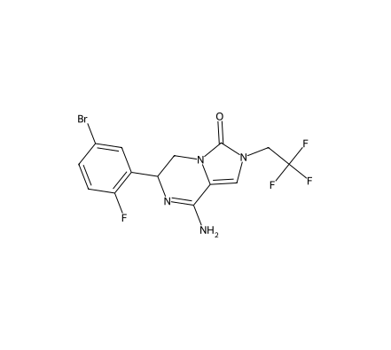 NC1=NC(c2cc(Br)ccc2F)Cn2c1cn(CC(F)(F)F)c2=O